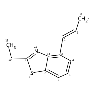 [CH2]C=Cc1cccc2sc(CC)nc12